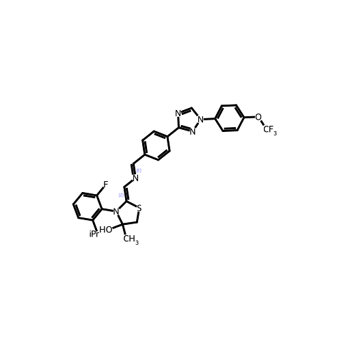 CC(C)c1cccc(F)c1N1/C(=C/N=C/c2ccc(-c3ncn(-c4ccc(OC(F)(F)F)cc4)n3)cc2)SCC1(C)O